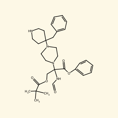 CC(C)(C)C(=O)OCC(NC=O)(C(=O)Oc1ccccc1)N1CCN(C2(Cc3ccccc3)CCNCC2)CC1